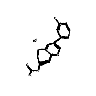 CCC(=O)Oc1ccc2cc(-c3cccc(F)c3)cnc2c1.Cl